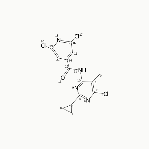 Cc1c(Cl)nc(C2CC2)nc1NC(=O)c1cc(Cl)nc(Cl)c1